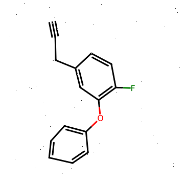 C#C[CH]c1ccc(F)c(Oc2ccccc2)c1